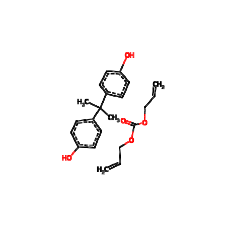 C=CCOC(=O)OCC=C.CC(C)(c1ccc(O)cc1)c1ccc(O)cc1